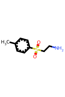 Cc1ccc(S(=O)(=O)CCN)cc1